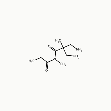 CCC(=O)N(C)C(=O)C(C)(CN)CN